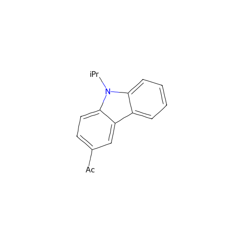 CC(=O)c1ccc2c(c1)c1ccccc1n2C(C)C